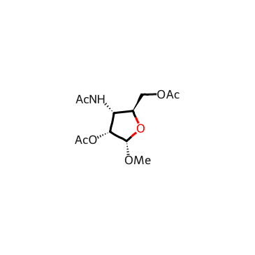 CO[C@H]1O[C@H](COC(C)=O)[C@@H](NC(C)=O)[C@H]1OC(C)=O